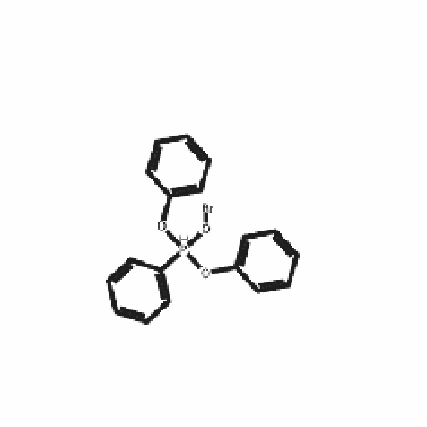 BrO[PH](Oc1ccccc1)(Oc1ccccc1)c1ccccc1